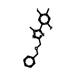 Cc1cc(F)c(-c2nc(COCc3ccccc3)nn2C)cc1I